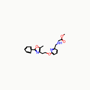 COC(=O)CNCc1cccc(OCCc2nc(-c3ccccc3)oc2C)n1